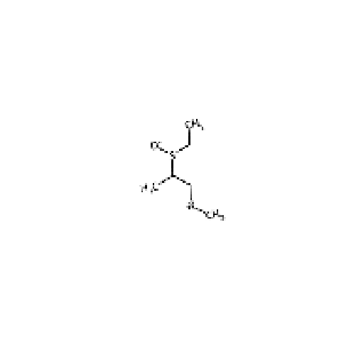 CC[S+]([O-])C(C)C[N]C